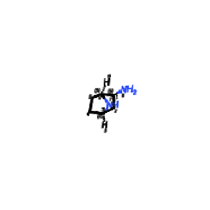 N[C@H]1C[C@H]2CC[C@@H]1N2